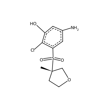 C[C@]1(S(=O)(=O)c2cc(N)cc(O)c2Cl)CCOC1